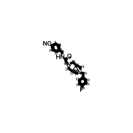 N#Cc1ccc(CNC(=O)CN2CC3CN(Cc4ccc(F)cc4)CC(C2)O3)cc1